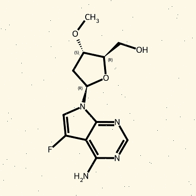 CO[C@H]1C[C@H](n2cc(F)c3c(N)ncnc32)O[C@@H]1CO